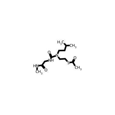 CNC(=O)CNC(=O)N(CCSC(C)=O)CCC(C)C